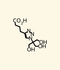 O=C(O)CCCc1cn(C(CO)(CO)CO)nn1